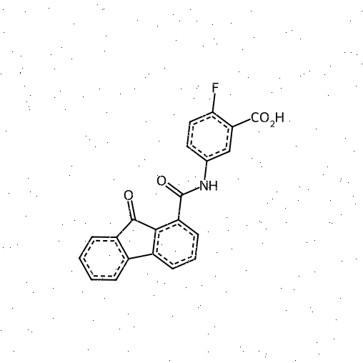 O=C(O)c1cc(NC(=O)c2cccc3c2C(=O)c2ccccc2-3)ccc1F